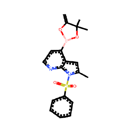 C=C1OB(c2ccnc3c2cc(C)n3S(=O)(=O)c2ccccc2)OC1(C)C